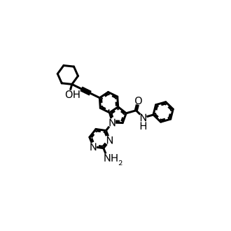 Nc1nccc(-n2cc(C(=O)Nc3ccccc3)c3ccc(C#CC4(O)CCCCC4)cc32)n1